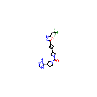 O=C(N1CC(C23CC(c4nnc(CC(F)(F)F)o4)(C2)C3)C1)N1CC[C@H](c2ncn[nH]2)C1